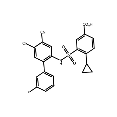 N#Cc1cc(NS(=O)(=O)c2cc(C(=O)O)ccc2C2CC2)c(-c2cccc(F)c2)cc1Cl